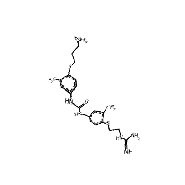 N=C(N)NCCSc1ccc(NC(=O)Nc2ccc(SCCCN)c(C(F)(F)F)c2)cc1C(F)(F)F